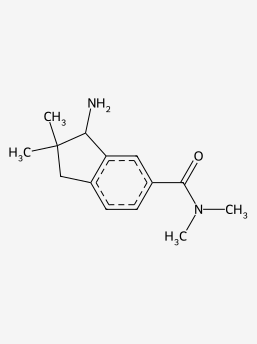 CN(C)C(=O)c1ccc2c(c1)C(N)C(C)(C)C2